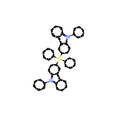 c1ccc(-n2c3ccccc3c3cc(S(c4ccccc4)(c4ccccc4)c4ccc5c(c4)c4ccccc4n5-c4ccccc4)ccc32)cc1